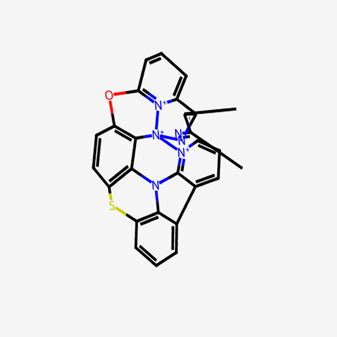 Cc1nn2c(c1C)-c1cccc3[n+]1[N+]21c2c(ccc4c2-n2c5c(cccc5c5ccc[n+]1c52)S4)O3